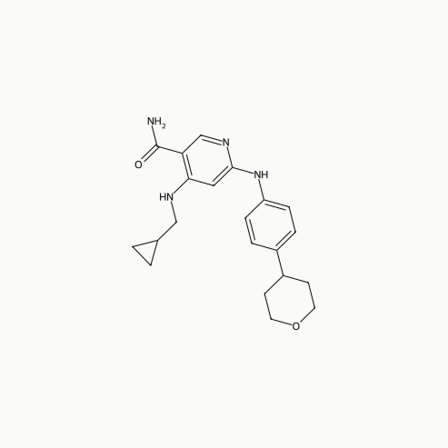 NC(=O)c1cnc(Nc2ccc(C3CCOCC3)cc2)cc1NCC1CC1